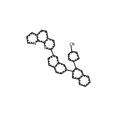 N#Cc1ccc(-c2cc3ccccc3cc2-c2ccc3ccc(-c4ccc5ccc6cccnc6c5n4)cc3c2)cc1